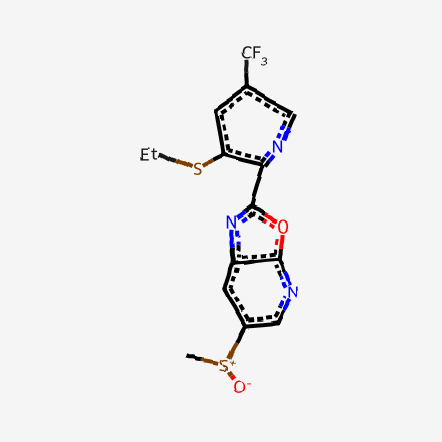 CCSc1cc(C(F)(F)F)cnc1-c1nc2cc([S+](C)[O-])cnc2o1